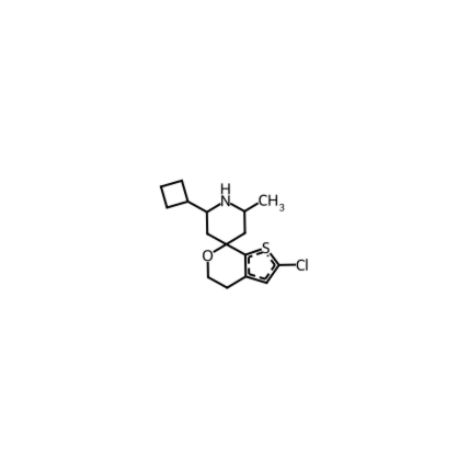 CC1CC2(CC(C3CCC3)N1)OCCc1cc(Cl)sc12